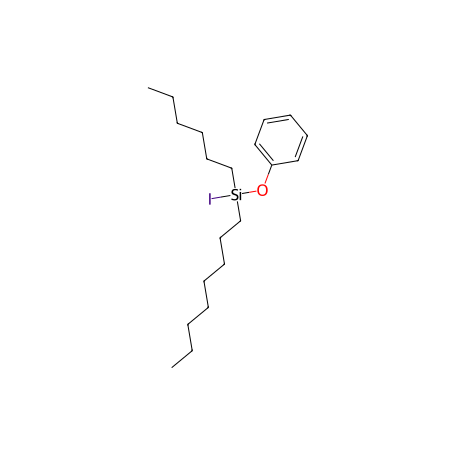 CCCCCCCC[Si](I)(CCCCCC)Oc1ccccc1